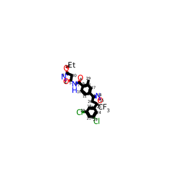 CCOC1=NO[C@@H](NC(=O)c2ccc(C3=NO[C@@](c4cc(Cl)cc(Cl)c4)(C(F)(F)F)C3)cc2C)C1